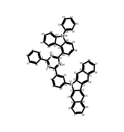 c1ccc(-c2nc(-c3cccc(-n4c5cc6ccccc6cc5c5cc6ccccc6cc54)c3)nc(-c3cccc4c3c3ccccc3n4-c3ccccc3)n2)cc1